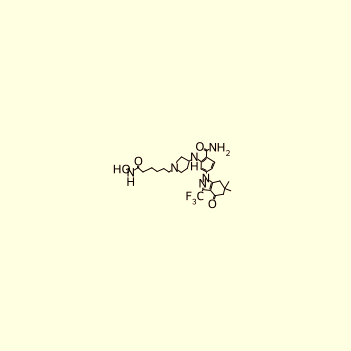 CC1(C)CC(=O)c2c(C(F)(F)F)nn(-c3ccc(C(N)=O)c(NC4CCN(CCCCCC(=O)NO)CC4)c3)c2C1